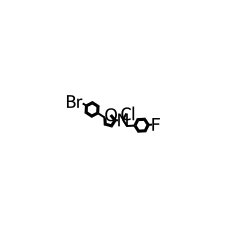 Fc1ccc(CN(Cl)c2ccc(-c3ccc(Br)cc3)o2)cc1